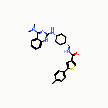 Cc1ccc(-c2cc(C(=O)NC[C@H]3CC[C@@H](Nc4nc(N(C)C)c5ccccc5n4)CC3)cs2)cc1